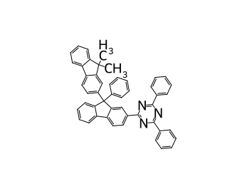 CC1(C)c2ccccc2-c2ccc(C3(c4ccccc4)c4ccccc4-c4ccc(-c5nc(-c6ccccc6)nc(-c6ccccc6)n5)cc43)cc21